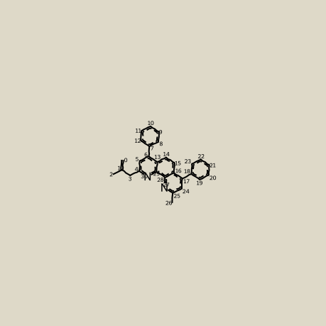 C=C(C)Cc1cc(-c2ccccc2)c2ccc3c(-c4ccccc4)cc(C)nc3c2n1